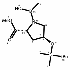 COC(=O)[C@H]1C[C@H](O[Si](C)(C)C(C)(C)C)CN1B(C)O